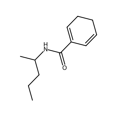 CCCC(C)NC(=O)C1=CCCC=C1